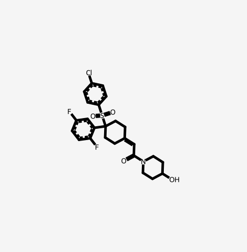 O=C(C=C1CCC(c2cc(F)ccc2F)(S(=O)(=O)c2ccc(Cl)cc2)CC1)N1CCC(O)CC1